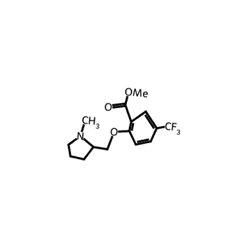 COC(=O)c1cc(C(F)(F)F)ccc1OCC1CCCN1C